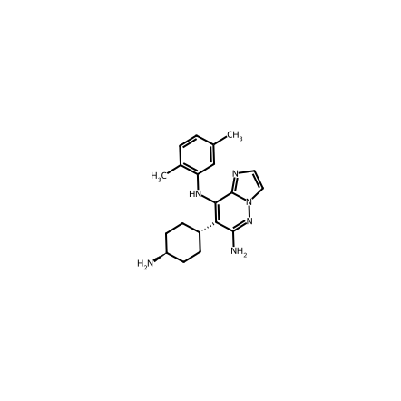 Cc1ccc(C)c(Nc2c3nccn3nc(N)c2[C@H]2CC[C@H](N)CC2)c1